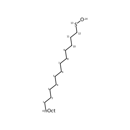 CCCCCCCCCCCCCCCCCCCCS[O]